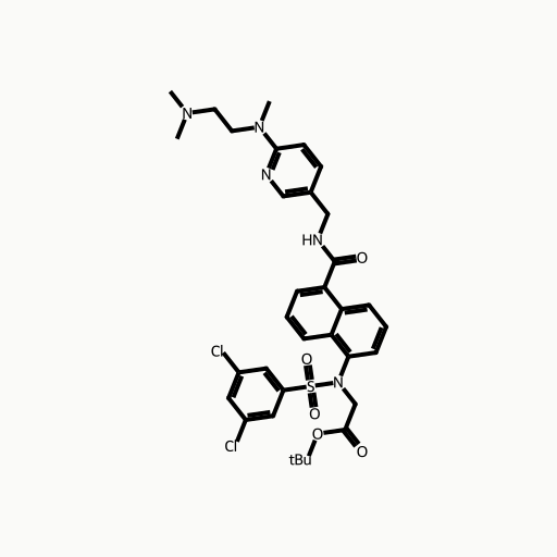 CN(C)CCN(C)c1ccc(CNC(=O)c2cccc3c(N(CC(=O)OC(C)(C)C)S(=O)(=O)c4cc(Cl)cc(Cl)c4)cccc23)cn1